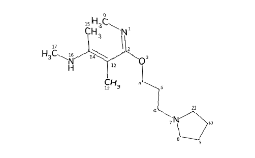 C/N=C(OCCCN1CCCC1)\C(C)=C(/C)NC